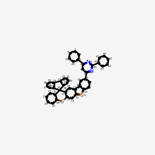 c1ccc(-c2cc(-c3ccc4sc5cc6c(cc5c4c3)C3(c4ccccc4S6)c4ccccc4-c4ccccc43)nc(-c3ccccc3)n2)cc1